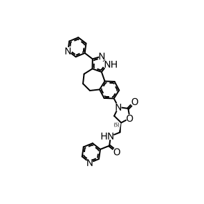 O=C(NC[C@H]1CN(c2ccc3c(c2)CCCc2c(-c4cccnc4)n[nH]c2-3)C(=O)O1)c1cccnc1